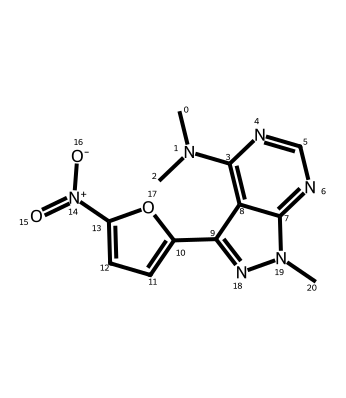 CN(C)c1ncnc2c1c(-c1ccc([N+](=O)[O-])o1)nn2C